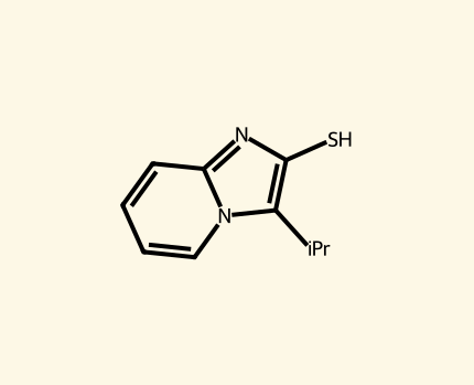 CC(C)c1c(S)nc2ccccn12